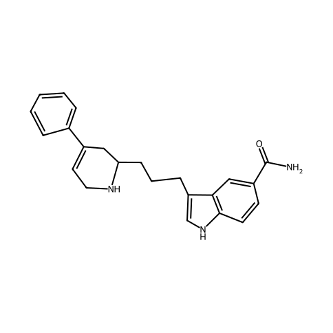 NC(=O)c1ccc2[nH]cc(CCCC3CC(c4ccccc4)=CCN3)c2c1